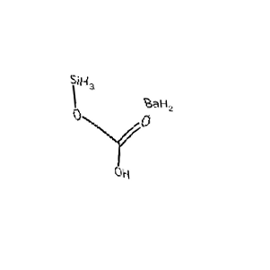 O=C(O)O[SiH3].[BaH2]